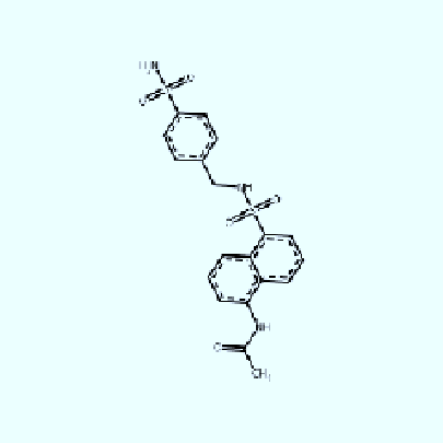 CC(=O)Nc1cccc2c(S(=O)(=O)NCc3ccc(S(N)(=O)=O)cc3)cccc12